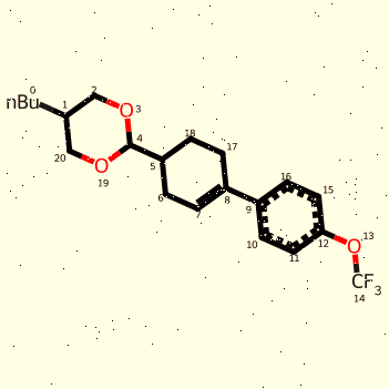 CCCCC1COC(C2CC=C(c3ccc(OC(F)(F)F)cc3)CC2)OC1